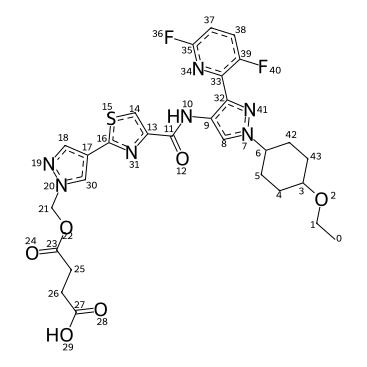 CCOC1CCC(n2cc(NC(=O)c3csc(-c4cnn(COC(=O)CCC(=O)O)c4)n3)c(-c3nc(F)ccc3F)n2)CC1